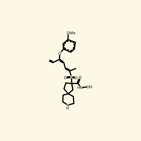 C=C/C(=C\C=C(/C)S(=O)(=O)C1(C(=O)NO)CCC2(CCNCC2)C1)Oc1cccc(OC)c1